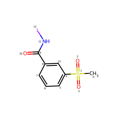 CS(=O)(=O)c1cccc(C(=O)NI)c1